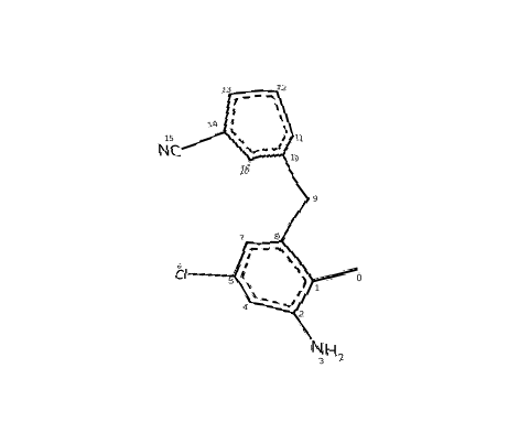 Cc1c(N)cc(Cl)cc1Cc1cccc(C#N)c1